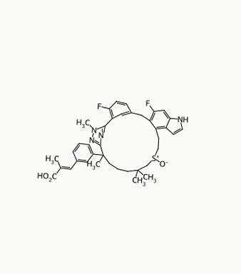 C/C(=C\c1cccc(C2(C)CCCC(C)(C)C[S+]([O-])CCc3c(c(F)cc4[nH]ccc34)Cc3ccc(F)c(c3)-c3nc2nn3C)c1)C(=O)O